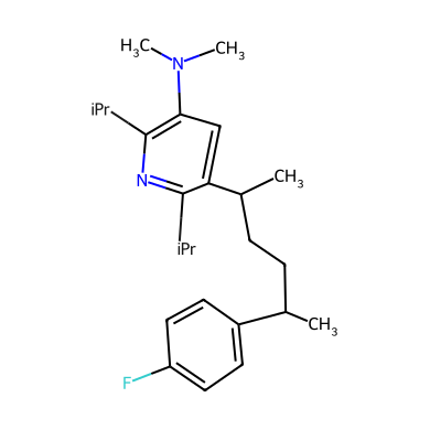 CC(C)c1nc(C(C)C)c(N(C)C)cc1C(C)CCC(C)c1ccc(F)cc1